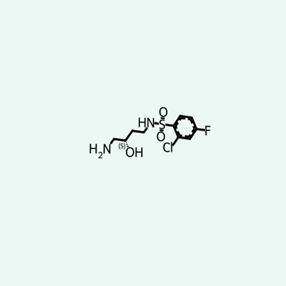 NC[C@@H](O)CCNS(=O)(=O)c1ccc(F)cc1Cl